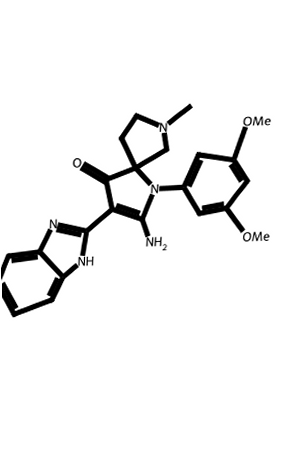 COc1cc(OC)cc(N2C(N)=C(c3nc4ccccc4[nH]3)C(=O)C23CCN(C)C3)c1